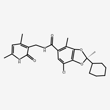 Cc1cc(C)c(CNC(=O)c2cc(Cl)c3c(c2C)O[C@@](C)(C2CCCCC2)O3)c(=O)[nH]1